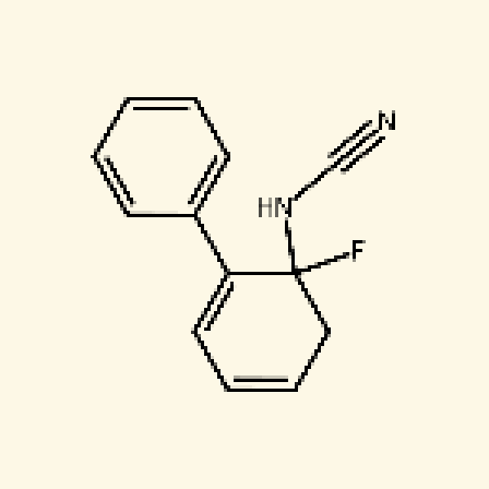 N#CNC1(F)CC=CC=C1c1ccccc1